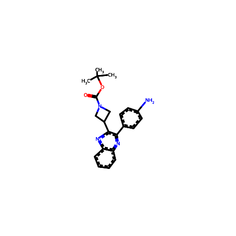 CC(C)(C)OC(=O)N1CC(c2nc3ccccc3nc2-c2ccc(N)cc2)C1